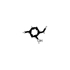 Oc1cc(I)ccc1CI